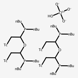 CCCCP(CCCC)C([CH2][Tc])OC([CH2][Tc])P(CCCC)CCCC.CCCCP(CCCC)C([CH2][Tc])OC([CH2][Tc])P(CCCC)CCCC.[O-][Cl+3]([O-])([O-])O